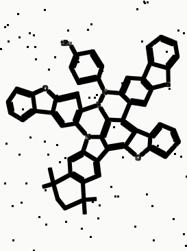 CC(C)(C)c1ccc(N2B3c4cc5oc6ccccc6c5cc4-n4c5cc6c(cc5c5c7oc8ccccc8c7c(c3c54)-c3cc4sc5ccccc5c4cc32)C(C)(C)CCC6(C)C)cc1